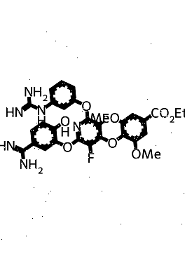 CCOC(=O)c1cc(OC)c(Oc2c(F)c(Oc3cccc(NC(=N)N)c3)nc(Oc3cc(C(=N)N)ccc3O)c2F)c(OC)c1